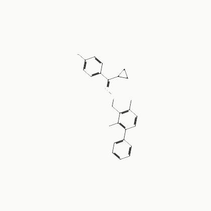 Cc1ccc(-c2ccccc2)c(C)c1CO/N=C(/c1ccc(Cl)cc1)C1CC1